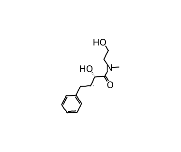 CN(CCO)C(=O)[C@@H](O)[CH]Cc1ccccc1